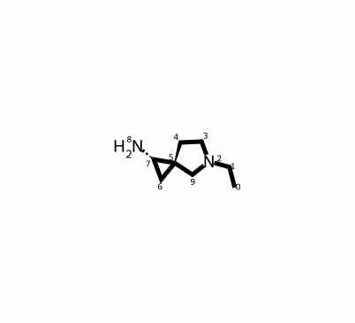 CCN1CC[C@]2(C[C@@H]2N)C1